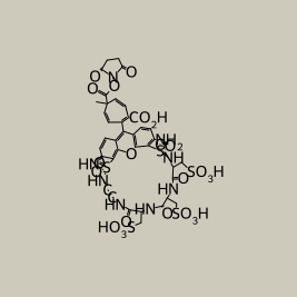 CC1(C(=O)ON2C(=O)CCC2=O)C=CC(C(=O)O)=C(c2c3ccc(=N)c4c-3oc3c(c(N)ccc23)S(=O)(=O)NC(CS(=O)(=O)O)C(=O)NC(CS(=O)(=O)O)C(=O)NC(CS(=O)(=O)O)C(=O)NCCNS4(=O)=O)C=C1